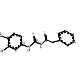 O=C(Cc1ccccc1)NC(=S)Nc1ccc(O)c(F)c1